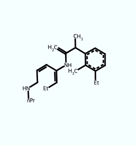 C=C(NC(/C=C\CNCCC)=C/CC)C(C)c1cccc(CC)c1C